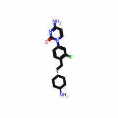 Nc1ccn(-c2ccc(CC[C@H]3CC[C@H](N)CC3)c(F)c2)c(=O)n1